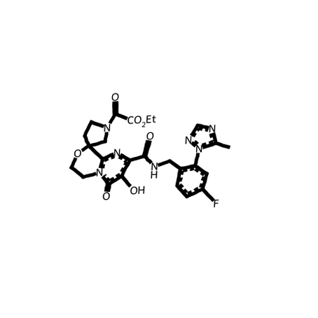 CCOC(=O)C(=O)N1CCC2(C1)OCCn1c2nc(C(=O)NCc2ccc(F)cc2-n2ncnc2C)c(O)c1=O